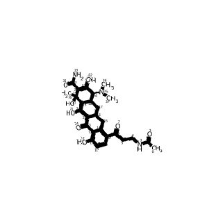 CC(=O)NCCC(=O)c1ccc(O)c2c1CC1CC3C(C(O)=C1C2=O)C(C)(O)C(C(N)=O)=C(O)[C@H]3N(C)C